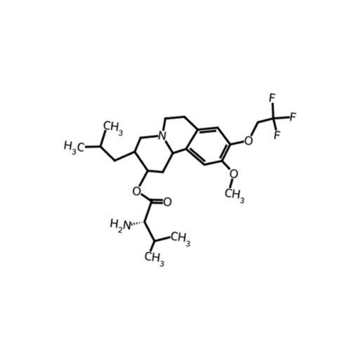 COc1cc2c(cc1OCC(F)(F)F)CCN1CC(CC(C)C)C(OC(=O)[C@@H](N)C(C)C)CC21